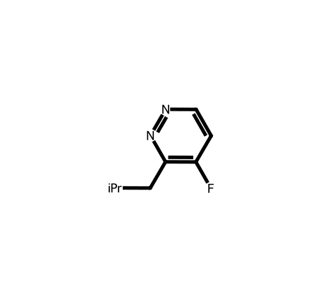 [CH2]C(C)Cc1nnccc1F